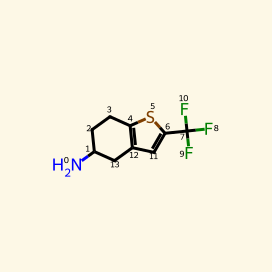 NC1CCc2sc(C(F)(F)F)cc2C1